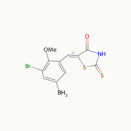 Bc1cc(Br)c(OC)c(/C=C2\SC(=S)NC2=O)c1